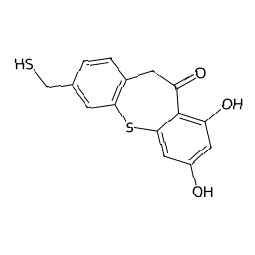 O=C1Cc2ccc(CS)cc2Sc2cc(O)cc(O)c21